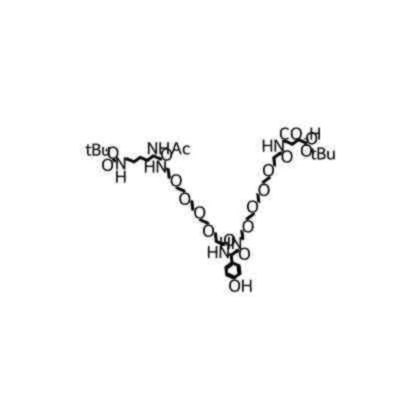 CC(=O)NC(CCCCNC(=O)OC(C)(C)C)C(=O)NCCOCCOCCOCCOCCC(=O)NC(C(=O)NCCOCCOCCOCCOCCC(=O)NC(CCC(=O)OC(C)(C)C)C(=O)O)c1ccc(O)cc1